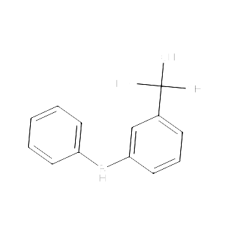 CC(C)(C)c1cccc(Bc2ccccc2)c1